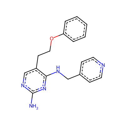 Nc1ncc(CCOc2ccccc2)c(NCc2ccncc2)n1